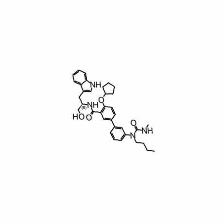 CCCCN(C(=O)NC)c1cccc(-c2ccc(OC3CCCC3)c(C(=O)N[C@@H](CO)Cc3c[nH]c4ccccc34)c2)c1